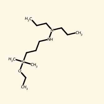 CCCN(CCC)NCCC[Si](C)(C)OCC